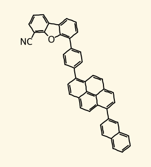 N#Cc1cccc2c1oc1c(-c3ccc(-c4ccc5ccc6c(-c7ccc8ccccc8c7)ccc7ccc4c5c76)cc3)cccc12